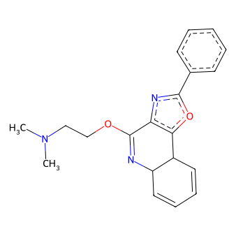 CN(C)CCOC1=NC2C=CC=CC2c2oc(-c3ccccc3)nc21